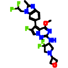 COc1nc(N[C@@H]2CN(C3COC3)CC2(F)F)nn2cc(F)c(-c3ccc4nc(C)n(CC(F)F)c4c3)c12